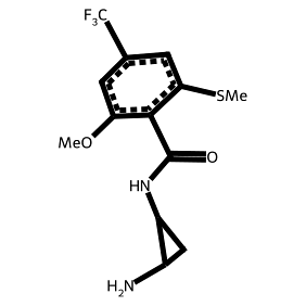 COc1cc(C(F)(F)F)cc(SC)c1C(=O)NC1CC1N